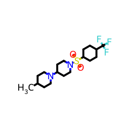 CC1CCN(C2CCN(S(=O)(=O)C3CCC(C(F)(F)F)CC3)CC2)CC1